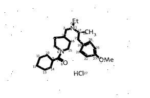 CCN(CC1CCN(C(=O)C2CCCCC2)CC1)[C@@H](C)Cc1ccc(OC)cc1.Cl